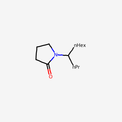 CCCCCCC(CCC)N1CCCC1=O